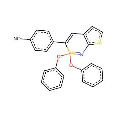 N#Cc1ccc(C2=Cc3ccsc3N=P2(Oc2ccccc2)Oc2ccccc2)cc1